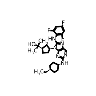 CC[C@H]1CC[C@H](Nc2ncc3nc(Nc4c(F)cc(F)cc4F)n([C@H]4CC[C@@H](C(C)(C)O)C4)c3n2)CC1